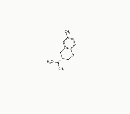 Cc1ccc2c(c1)C[C@@H](N(C)C)CO2